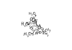 C=CC(=O)N[C@@H]1[C@H]2OC(C)(C)O[C@H]2[C@@H](CC)O[C@@H]1C=C